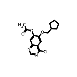 CC(=O)Oc1cc2ncnc(Cl)c2cc1OCC1CCCC1